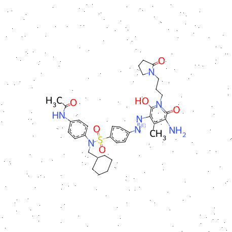 CC(=O)Nc1ccc(N(CC2CCCCC2)S(=O)(=O)c2ccc(/N=N/c3c(C)c(N)c(=O)n(CCCN4CCCC4=O)c3O)cc2)cc1